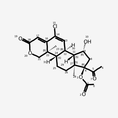 CC(=O)O[C@]1(C(C)=O)C[C@@H](O)[C@H]2[C@@H]3C=C(Cl)C4=CC(=O)OC[C@]4(C)[C@H]3CC[C@@]21C